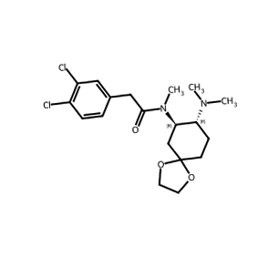 CN(C)[C@@H]1CCC2(C[C@H]1N(C)C(=O)Cc1ccc(Cl)c(Cl)c1)OCCO2